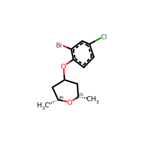 C[C@@H]1CC(Oc2ccc(Cl)cc2Br)C[C@H](C)O1